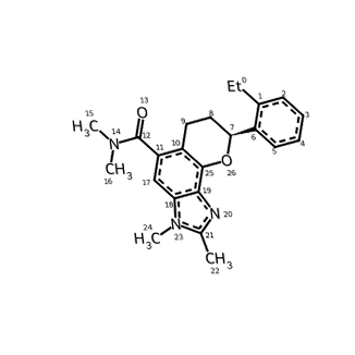 CCc1ccccc1[C@@H]1CCc2c(C(=O)N(C)C)cc3c(nc(C)n3C)c2O1